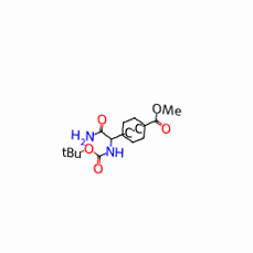 COC(=O)C12CCC(C(NC(=O)OC(C)(C)C)C(N)=O)(CC1)CC2